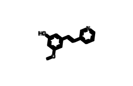 COc1cc(O)cc(/C=C/c2cccnc2)c1